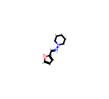 C(=N\N1CCCCC1)/c1ccco1